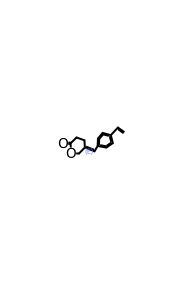 C=Cc1ccc(/C=C2\CCC(=O)OC2)cc1